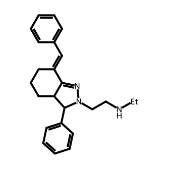 CCNCCN1N=C2C(=Cc3ccccc3)CCCC2C1c1ccccc1